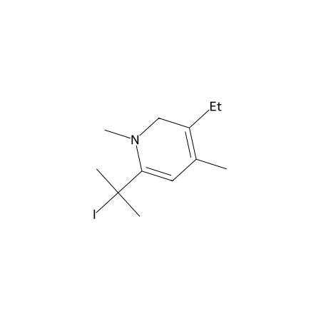 CCC1=C(C)C=C(C(C)(C)I)N(C)C1